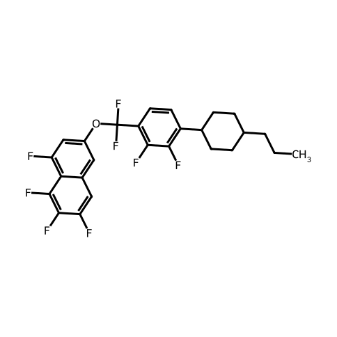 CCCC1CCC(c2ccc(C(F)(F)Oc3cc(F)c4c(F)c(F)c(F)cc4c3)c(F)c2F)CC1